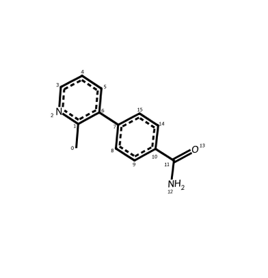 Cc1ncccc1-c1ccc(C(N)=O)cc1